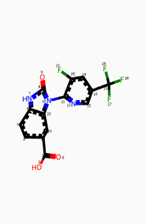 O=C(O)c1ccc2[nH]c(=O)n(-c3ncc(C(F)(F)F)cc3F)c2c1